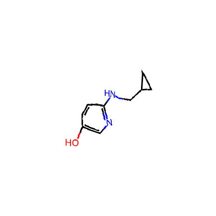 Oc1ccc(NCC2CC2)nc1